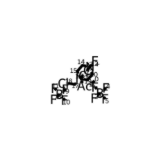 CC(C)=O.F[B-](F)(F)F.F[B-](F)(F)F.F[N+]12CC[N+](CCl)(CC1)CC2